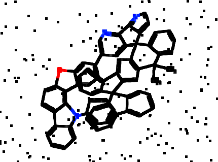 CC1(C)c2ccccc2C2(c3cc4c(cc31)C1(c3ccccc3-c3ccccc31)c1ccccc1-4)c1cccnc1-c1ncc(-c3ccc4c(c3)oc3ccc5c6ccccc6n(-c6ccccc6)c5c34)cc12